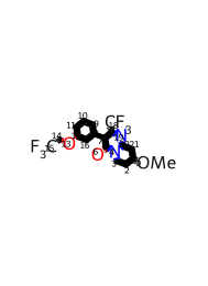 COc1ccn2c(=O)c(-c3cccc(OCC(F)(F)F)c3)c(C(F)(F)F)nc2c1